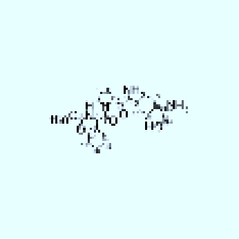 CC(C)(C)OC(=O)N[C@@H](C(=O)N1CCC[C@H]1C(=O)C(N)C1CCC(/C(N)=N\O)CC1)C1CCCCC1